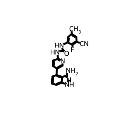 Cc1cc(C#N)c(F)c(NC(=O)Nc2ccc(-c3cccc4[nH]nc(N)c34)cn2)c1